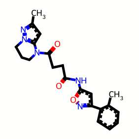 Cc1cc2n(n1)CCCN2C(=O)CCC(=O)Nc1cc(-c2ccccc2C)no1